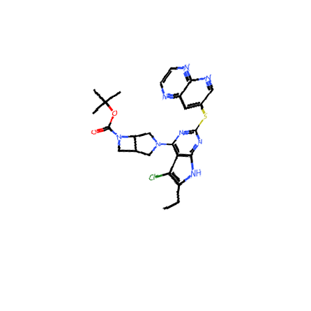 CCc1[nH]c2nc(Sc3cnc4nccnc4c3)nc(N3CC4CN(C(=O)OC(C)(C)C)C4C3)c2c1Cl